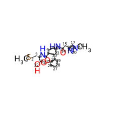 CSCC[C@H](NC(=O)c1ccc(NC(=O)Cc2cn(C)cn2)cc1-c1ccccc1)C(=O)O